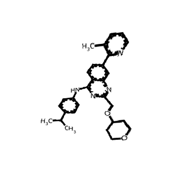 Cc1cccnc1-c1ccc2c(Nc3ccc(C(C)C)cc3)nc(COC3CCOCC3)nc2c1